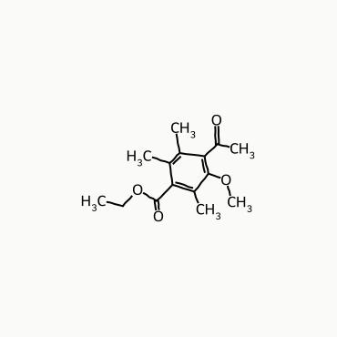 CCOC(=O)c1c(C)c(C)c(C(C)=O)c(OC)c1C